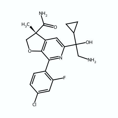 C[C@]1(C(N)=O)COc2c1cc(C(O)(CN)C1CC1)nc2-c1ccc(Cl)cc1F